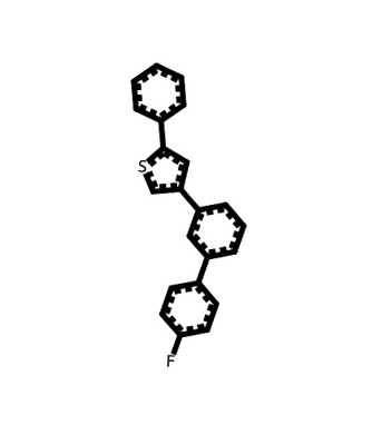 Fc1ccc(-c2cccc(-c3csc(-c4ccccc4)c3)c2)cc1